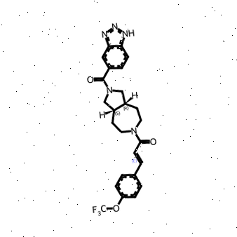 O=C(/C=C/c1ccc(OC(F)(F)F)cc1)N1CC[C@@H]2CN(C(=O)c3ccc4[nH]nnc4c3)C[C@@H]2CC1